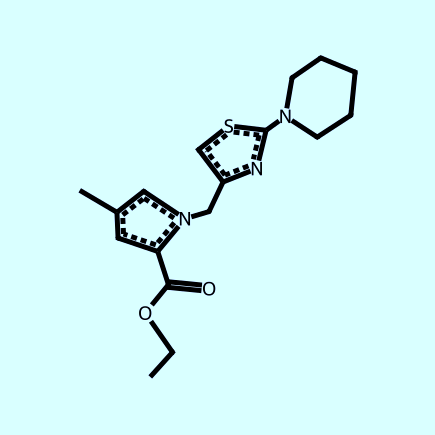 CCOC(=O)c1cc(C)cn1Cc1csc(N2CCCCC2)n1